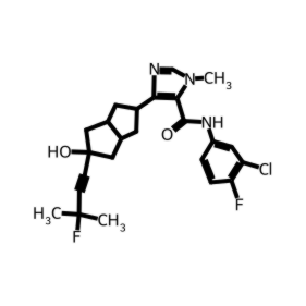 Cn1cnc(C2CC3CC(O)(C#CC(C)(C)F)CC3C2)c1C(=O)Nc1ccc(F)c(Cl)c1